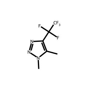 Cc1c(C(F)(F)C(F)(F)F)nnn1C